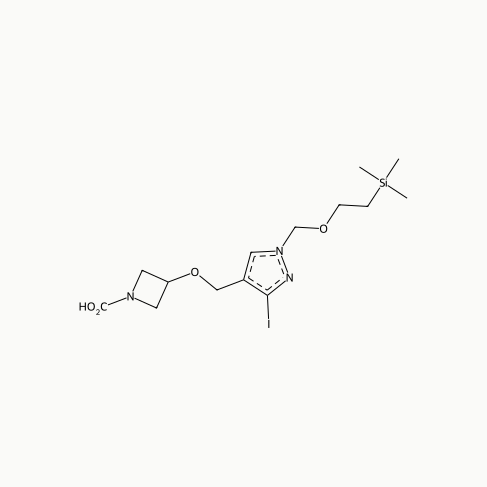 C[Si](C)(C)CCOCn1cc(COC2CN(C(=O)O)C2)c(I)n1